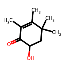 CC1=C(C)C(C)(C)CC(O)C1=O